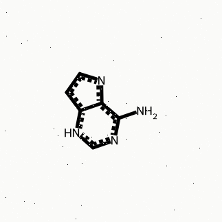 Nc1nc[nH]c2ccnc1-2